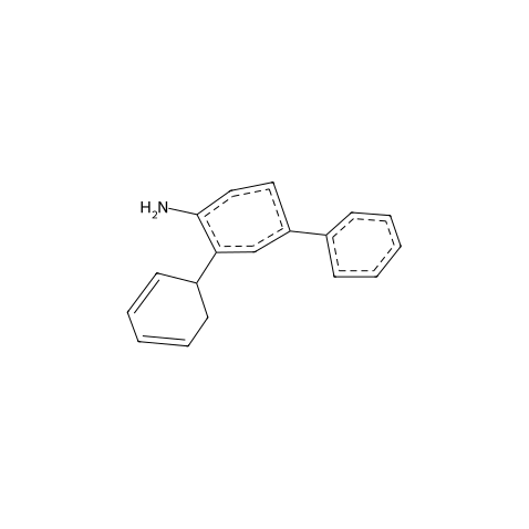 Nc1ccc(-c2ccccc2)cc1C1C=CC=CC1